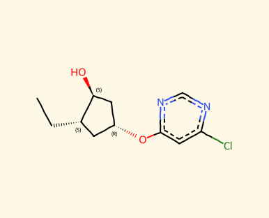 CC[C@H]1C[C@@H](Oc2cc(Cl)ncn2)C[C@@H]1O